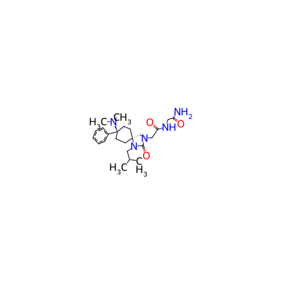 CC(C)CN1C(=O)N(CC(=O)NCC(N)=O)C[C@]12CC[C@](c1ccccc1)(N(C)C)CC2